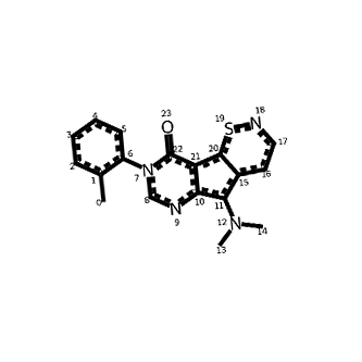 Cc1ccccc1-n1cnc2c(N(C)C)c3ccnsc-3c2c1=O